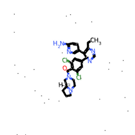 CCc1ncnc(-c2cc(Cl)c(C(=O)N3CCN4CCC[C@H]4C3)c(Cl)c2)c1-c1ccc(N)nc1